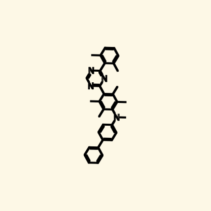 Cc1cccc(C)c1-c1ncnc(-c2c(C)c(C)c(N(C)c3ccc(-c4ccccc4)cc3)c(C)c2C)n1